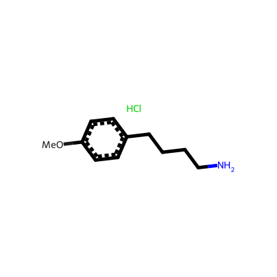 COc1ccc(CCCCN)cc1.Cl